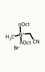 CCCCCCCC[N+](C)(CC#N)CCCCCCCC.[Br-]